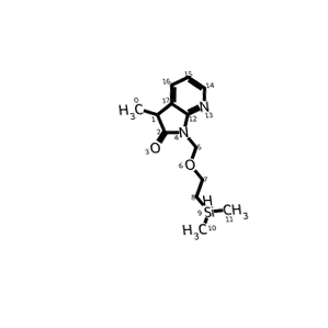 CC1C(=O)N(COCC[SiH](C)C)c2ncccc21